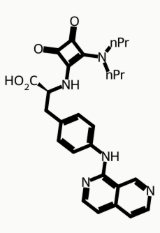 CCCN(CCC)c1c(N[C@@H](Cc2ccc(Nc3nccc4ccncc34)cc2)C(=O)O)c(=O)c1=O